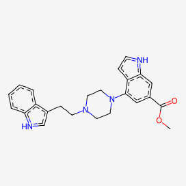 COC(=O)c1cc(N2CCN(CCc3c[nH]c4ccccc34)CC2)c2cc[nH]c2c1